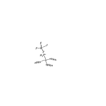 CCCCCCC([PH3+])(CCCCCC)CCCCCC.F[B-](F)(F)F